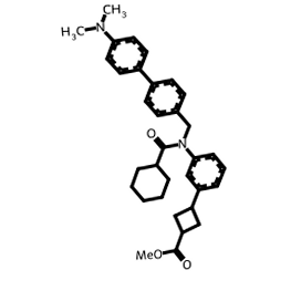 COC(=O)C1CC(c2cccc(N(Cc3ccc(-c4ccc(N(C)C)cc4)cc3)C(=O)C3CCCCC3)c2)C1